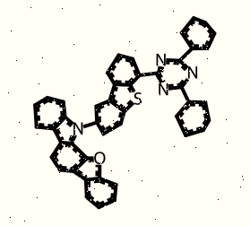 c1ccc(-c2nc(-c3ccccc3)nc(-c3cccc4c3sc3ccc(-n5c6ccccc6c6ccc7c8ccccc8oc7c65)cc34)n2)cc1